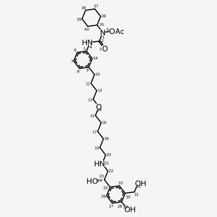 CC(=O)ON(C(=O)Nc1cccc(CCCCOCCCCCCNC[C@@H](O)c2ccc(O)c(CO)c2)c1)C1CCCCC1